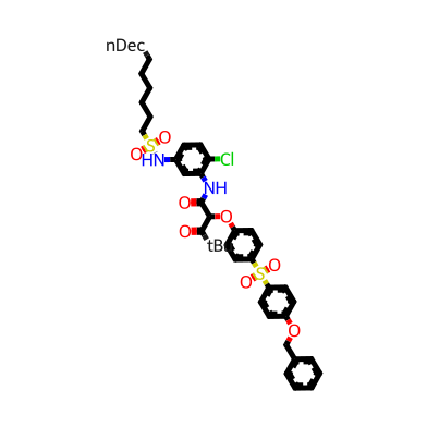 CCCCCCCCCCCCCCCCS(=O)(=O)Nc1ccc(Cl)c(NC(=O)C(Oc2ccc(S(=O)(=O)c3ccc(OCc4ccccc4)cc3)cc2)C(=O)C(C)(C)C)c1